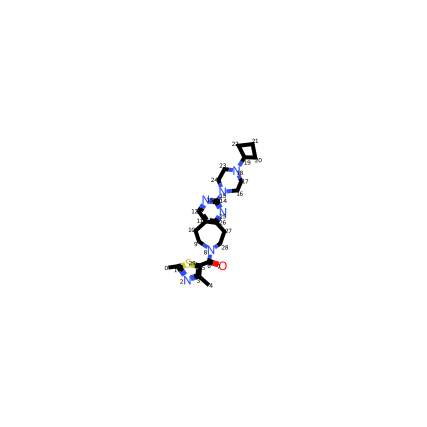 Cc1nc(C)c(C(=O)N2CCc3cnc(N4CCN(C5CCC5)CC4)nc3CC2)s1